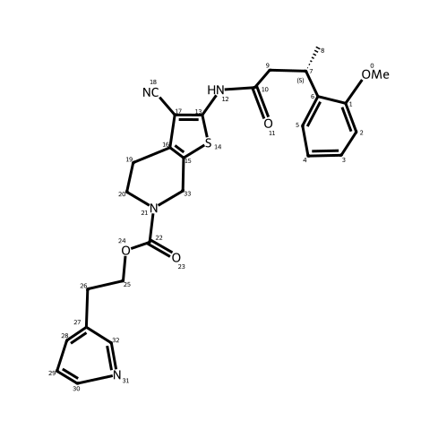 COc1ccccc1[C@@H](C)CC(=O)Nc1sc2c(c1C#N)CCN(C(=O)OCCc1cccnc1)C2